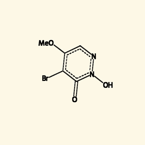 COc1cnn(O)c(=O)c1Br